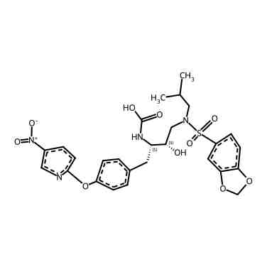 CC(C)CN(C[C@H](O)[C@H](Cc1ccc(Oc2ccc([N+](=O)[O-])cn2)cc1)NC(=O)O)S(=O)(=O)c1ccc2c(c1)OCO2